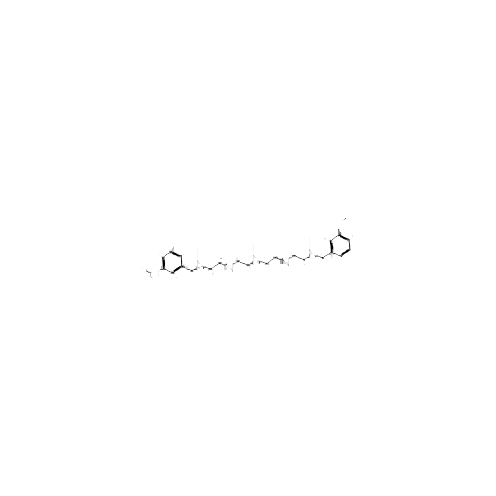 COc1cccc(CNCCNCCNCCNCCNCc2cccc(OC)c2)c1